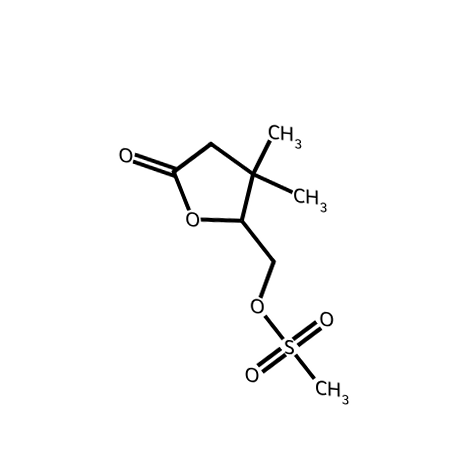 CC1(C)CC(=O)OC1COS(C)(=O)=O